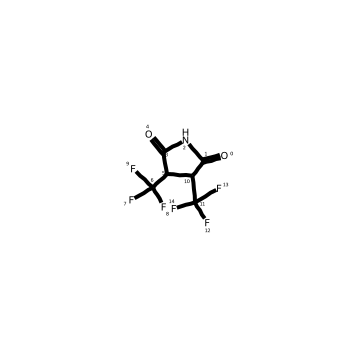 O=C1NC(=O)C(C(F)(F)F)C1C(F)(F)F